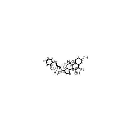 CC[C@@H]1C2C[C@H](O)CC[C@]2(C)C2CC[C@@]3(C)C(CCC3[C@H](C)C/C=C/c3ccccc3C(=O)O)C2[C@@H]1O